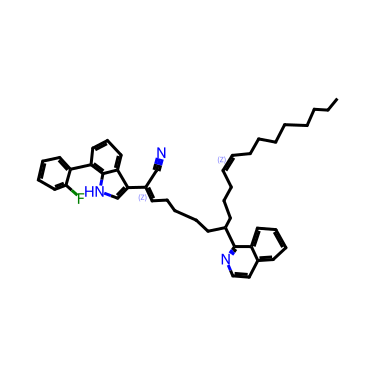 CCCCCCCC/C=C\CCCC(CCCC/C=C(\C#N)c1c[nH]c2c(-c3ccccc3F)cccc12)c1nccc2ccccc12